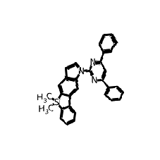 C[Si]1(C)c2ccccc2-c2cc3c(ccn3-c3nc(-c4ccccc4)cc(-c4ccccc4)n3)cc21